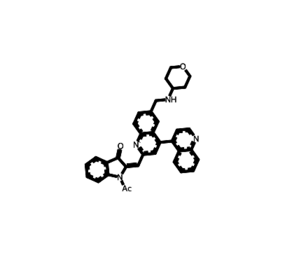 CC(=O)N1C(=Cc2cc(-c3ccnc4ccccc34)c3cc(CNC4CCOCC4)ccc3n2)C(=O)c2ccccc21